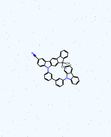 CC1(C)c2ccccc2-c2cc3c4cc(C#N)ccc4n(-c4cccc(-c5cccc(-n6c7ccccc7c7ccccc76)c5)c4)c3cc21